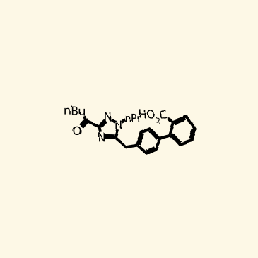 CCCCC(=O)c1nc(Cc2ccc(-c3ccccc3C(=O)O)cc2)n(CCC)n1